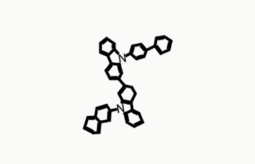 C1=C(c2ccc3c4ccccc4n(-c4ccc(-c5ccccc5)cc4)c3c2)CCc2c1n(-c1ccc3ccccc3c1)c1ccccc21